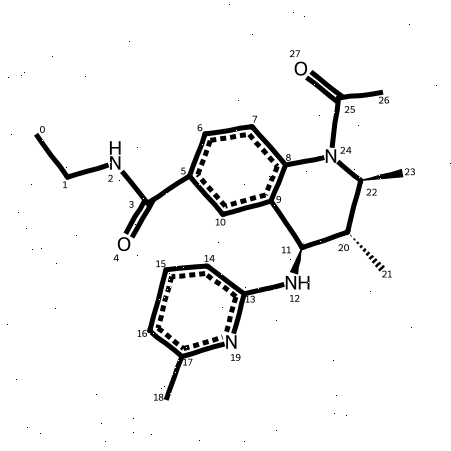 CCNC(=O)c1ccc2c(c1)[C@H](Nc1cccc(C)n1)[C@@H](C)[C@H](C)N2C(C)=O